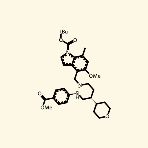 COC(=O)c1ccc([Si@@H]2C[C@@H](C3CCOCC3)CCN2Cc2c(OC)cc(C)c3c2ccn3C(=O)OC(C)(C)C)cc1